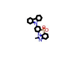 Cc1nc2cccc3c2n1-c1ccc(-n2c4ccccc4c4ccccc42)cc1S3(=O)=O